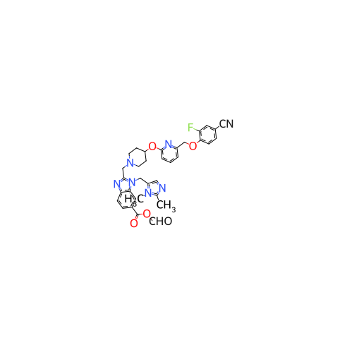 Cc1ncc(Cn2c(CN3CCC(Oc4cccc(COc5ccc(C#N)cc5F)n4)CC3)nc3ccc(C(=O)OC=O)cc32)n1C